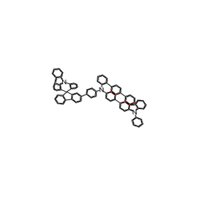 c1ccc(-c2ccc(-c3ccccc3N(c3ccc(-c4ccc5c(c4)C4(c6ccccc6-5)c5ccccc5-n5c6ccccc6c6cccc4c65)cc3)c3ccc(-c4ccc5c(c4)c4ccccc4n5-c4ccccc4)cc3)cc2)cc1